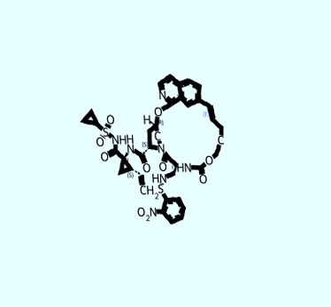 C=C[C@@H]1C[C@]1(NC(=O)[C@@H]1C[C@@H]2CN1C(=O)[C@H](CNSc1ccccc1[N+](=O)[O-])NC(=O)OCCC/C=C/c1ccc3ccnc(c3c1)O2)C(=O)NS(=O)(=O)C1CC1